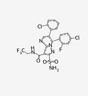 NS(=O)(=O)c1nn2c(-c3ccc(Cl)cc3F)c(-c3ccccc3Cl)cnc2c1C(=O)NCC(F)(F)F